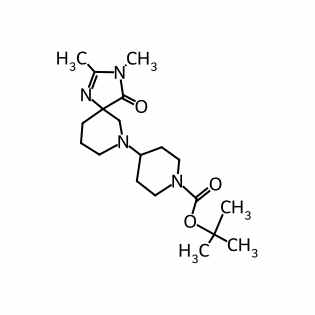 CC1=NC2(CCCN(C3CCN(C(=O)OC(C)(C)C)CC3)C2)C(=O)N1C